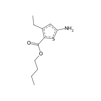 CCCCOC(=O)c1sc(N)cc1CC